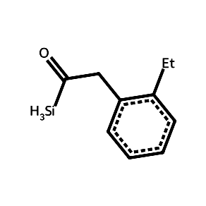 CCc1ccccc1CC(=O)[SiH3]